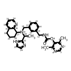 Cc1ncnc(C)c1OC(=O)NCc1cccc(CN(C(C)c2ncc[nH]2)C2CCCc3cccnc32)c1